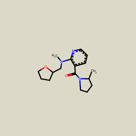 CC1CCCN1C(=O)c1cccnc1N(C)CC1CCCO1